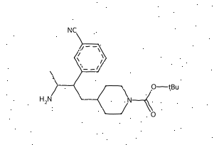 CC(N)C(CC1CCN(C(=O)OC(C)(C)C)CC1)c1cccc(C#N)c1